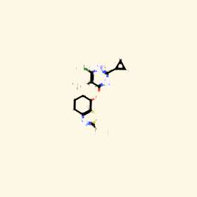 Cc1nc2c(s1)C(Oc1nc(C3CC3)nc(Cl)c1C#N)CCC2